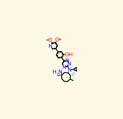 COc1cc(-c2ccc(-c3cnc(N(C4CC4)[C@H]4C[C@@](C)(N)CCCC(C)[C@H]4F)nn3)c(O)c2)cnc1OC